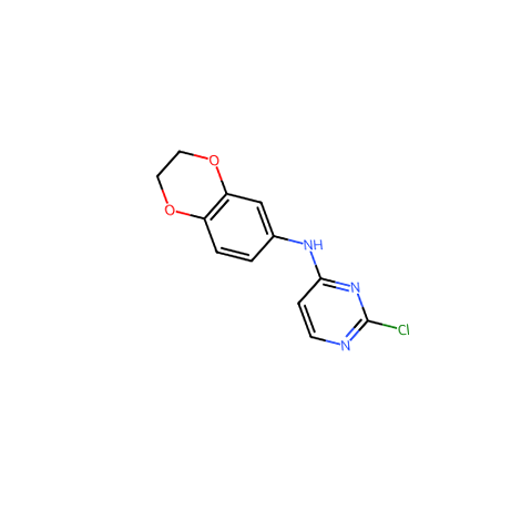 Clc1nccc(Nc2ccc3c(c2)OCCO3)n1